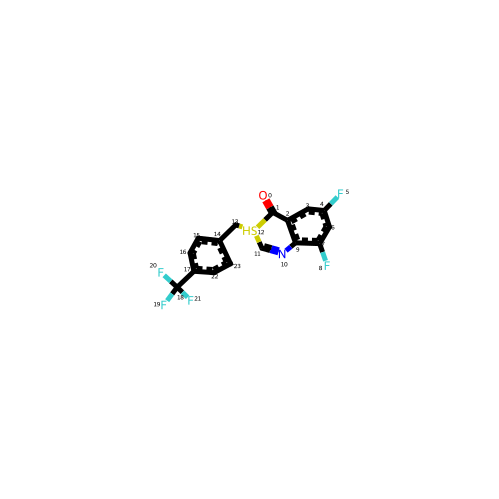 O=C1c2cc(F)cc(F)c2N=C[SH]1Cc1ccc(C(F)(F)F)cc1